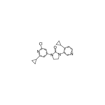 O=C1N(c2cc(Cl)nc(C3CC3)c2)CCN1c1cnccc1C1CC1